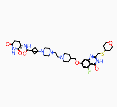 O=C1CC[C@H](NC(=O)C23CC(N4CCN(CCN5CCC(COc6cc(F)c7c(=O)[nH]c(CSC8CCOCC8)nc7c6)CC5)CC4)(C2)C3)C(=O)N1